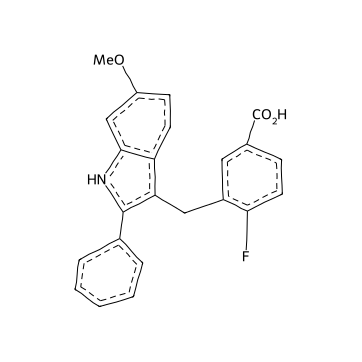 COc1ccc2c(Cc3cc(C(=O)O)ccc3F)c(-c3ccccc3)[nH]c2c1